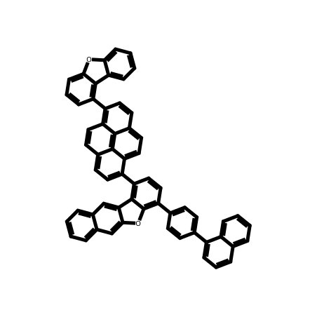 c1ccc2cc3c(cc2c1)oc1c(-c2ccc(-c4cccc5ccccc45)cc2)ccc(-c2ccc4ccc5c(-c6cccc7oc8ccccc8c67)ccc6ccc2c4c65)c13